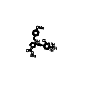 [2H]C([2H])([2H])c1ccc(C#CC2(NCc3ccc(OC)cc3)CCN(C(=O)OC(C)(C)C)C2)c(Cl)n1